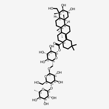 C[C@@H]1O[C@@H](O[C@H]2[C@H](O)[C@@H](O)[C@H](OC[C@H]3O[C@@H](OC(=O)[C@]45CCC(C)(C)CC4=C4CC[C@@H]6[C@@]7(C)C[C@@H](O)[C@H](O)[C@@](C)(CO)[C@@H]7CC[C@@]6(C)[C@]4(C)CC5)[C@H](O)[C@@H](O)[C@@H]3O)O[C@@H]2CO)[C@H](O)[C@H](O)[C@H]1O